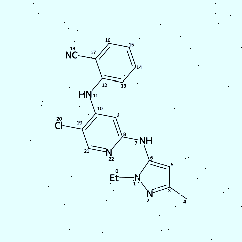 CCn1nc(C)cc1Nc1cc(Nc2ccccc2C#N)c(Cl)cn1